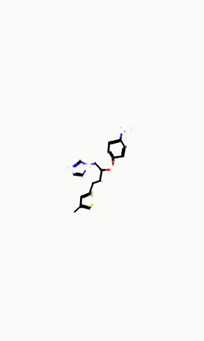 Cc1csc(CCC(Cn2ccnc2)Oc2ccc(N)cc2)c1